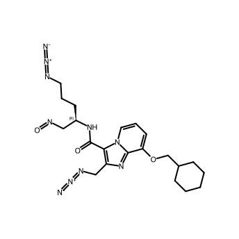 [N-]=[N+]=NCCC[C@H](CN=O)NC(=O)c1c(CN=[N+]=[N-])nc2c(OCC3CCCCC3)cccn12